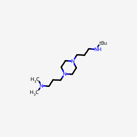 CN(C)CCCN1CCN(CCCNC(C)(C)C)CC1